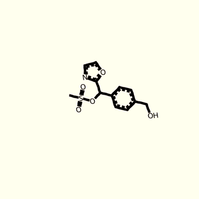 CS(=O)(=O)OC(c1ccc(CO)cc1)c1ncco1